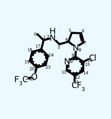 CC(NCC1CC=CN1c1ncc(C(F)(F)F)cc1Cl)c1ccc(OC(F)(F)F)cc1